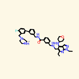 CCc1nc2c(cnn2CC)c(NC2CCOCC2)c1CNCc1cccc(C(=O)NCc2cccc(-c3ccc(F)c(CN4CCN[C@@H](C)C4)c3)c2)c1